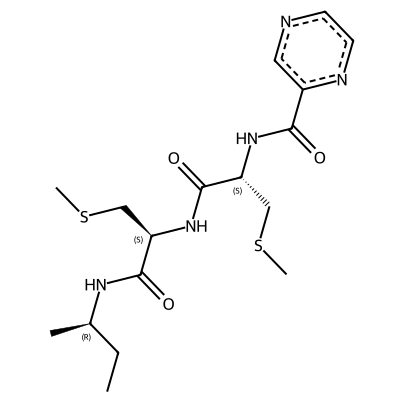 CC[C@@H](C)NC(=O)[C@@H](CSC)NC(=O)[C@@H](CSC)NC(=O)c1cnccn1